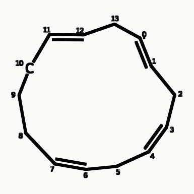 [C]1=C/C/C=C\C/C=C\CCC/C=C/C/1